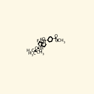 COC(=O)[C@H]1CC[C@H](C(=O)N2CC[C@H]3[C@@H]2C(F)(F)CN3C(=O)OC(C)(C)C)CC1